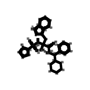 CC(Cc1c[nH]c2ccccc12)(NS(=O)(=O)c1cccs1)C(=O)NC(c1ccccn1)C1CCCCC1